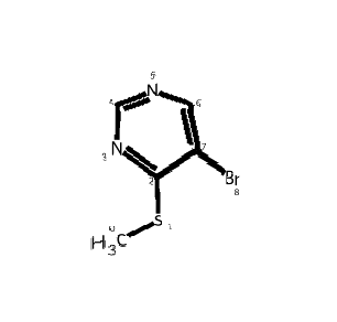 CSc1ncncc1Br